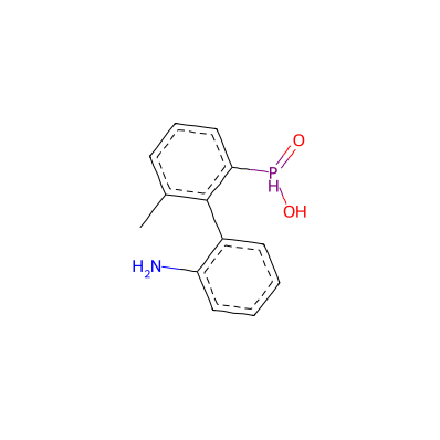 Cc1cccc([PH](=O)O)c1-c1ccccc1N